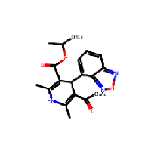 COC(=O)C1=C(C)NC(C)=C(C(=O)OC(C)OC)C1c1cccc2nonc12